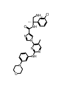 Cc1cnc(Nc2cccc(N3CCOCC3)c2)nc1-n1cnc(C(=O)N[C@@](C)(CN)c2cccc(Cl)c2)c1